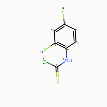 Fc1ccc(NC(=S)Cl)c(F)c1